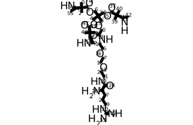 CC(C)(C(=O)OCC(COCC(=O)NCCOCCOCCNC(=O)C(N)CCCNC(=N)N)(COC(=O)C(C)(C)C1CN1)COC(=O)C(C)(C)C1CN1)C1CN1